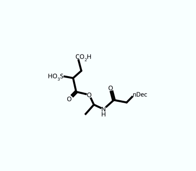 CCCCCCCCCCCC(=O)NC(C)OC(=O)C(CC(=O)O)S(=O)(=O)O